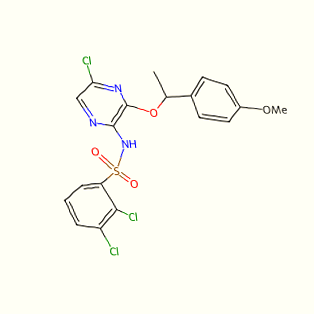 COc1ccc(C(C)Oc2nc(Cl)cnc2NS(=O)(=O)c2cccc(Cl)c2Cl)cc1